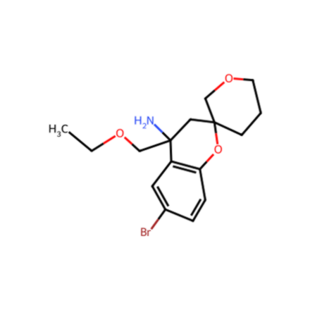 CCOCC1(N)CC2(CCCOC2)Oc2ccc(Br)cc21